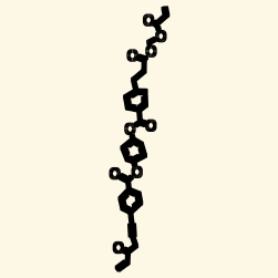 C=CC(=O)CC#Cc1ccc(C(=O)Oc2ccc(OC(=O)c3ccc(CCC(=O)OCOC(=O)C=C)cc3)cc2)cc1